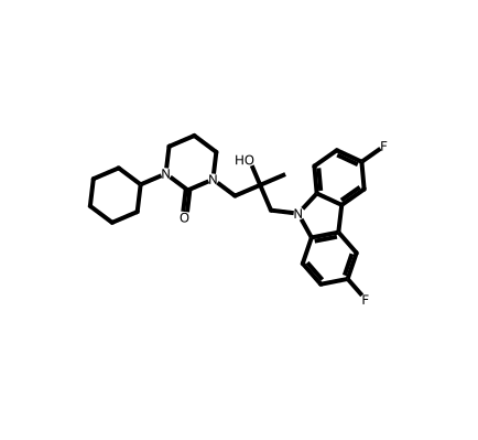 CC(O)(CN1CCCN(C2CCCCC2)C1=O)Cn1c2ccc(F)cc2c2cc(F)ccc21